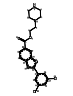 O=C(OCCN1CCNCC1)c1ccc2nc(-c3cc(Cl)cc(Cl)c3)oc2c1